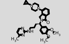 COc1ccc([C@@H](CCCNc2nccc(C)n2)N2Cc3c(cccc3N3CCN(C4CC4)CC3)C2=O)cc1OC